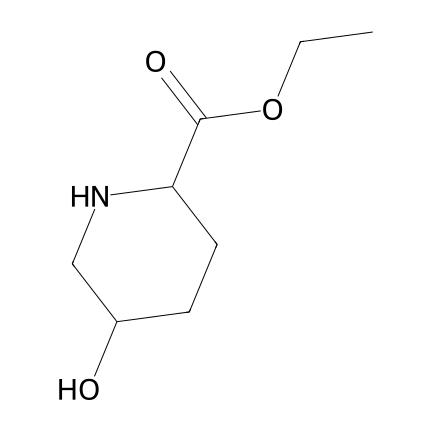 CCOC(=O)C1CCC(O)CN1